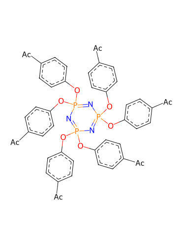 CC(=O)c1ccc(OP2(Oc3ccc(C(C)=O)cc3)=NP(Oc3ccc(C(C)=O)cc3)(Oc3ccc(C(C)=O)cc3)=NP(Oc3ccc(C(C)=O)cc3)(Oc3ccc(C(C)=O)cc3)=N2)cc1